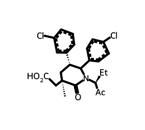 CC[C@@H](C(C)=O)N1C(=O)[C@@](C)(CC(=O)O)C[C@H](c2cccc(Cl)c2)C1c1ccc(Cl)cc1